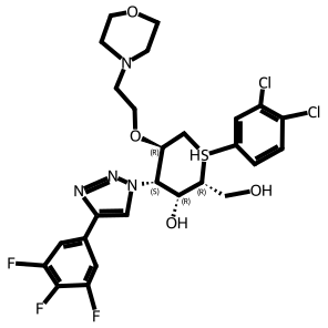 OC[C@@H]1[C@H](O)[C@H](n2cc(-c3cc(F)c(F)c(F)c3)nn2)[C@@H](OCCN2CCOCC2)C[SH]1c1ccc(Cl)c(Cl)c1